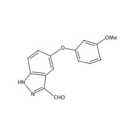 COc1cccc(Oc2ccc3[nH]nc(C=O)c3c2)c1